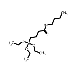 CCCCNC(=O)CCC[Si](OCC)(OCC)OCC